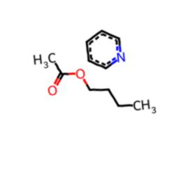 CCCCOC(C)=O.c1ccncc1